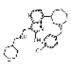 Cc1nn2c(C3CCCCN(Cc4ccc(Cl)cc4)C3)ccnc2c1CNCC1CCOCC1